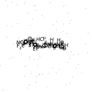 CCc1cc(N2C(=S)N(c3ccc(C#N)c(C(F)(F)F)c3)C(=O)C2(C)C)ccc1OCCN1CCN(CC(=O)Nc2cccc(NC3CCC(=O)NC3=O)c2)[C@H](C)C1.Cl